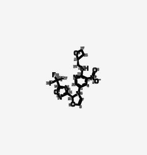 O=[N+]([O-])c1cc(N2C=CO[C@H]2c2noc(C(F)(F)F)n2)cnc1NC[C@@H]1CCO1